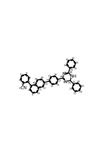 N#Cc1ccccc1-c1cccc2cc(-c3ccc(C4=NC(c5ccccc5)NC(c5ccccc5)=N4)cc3)ccc12